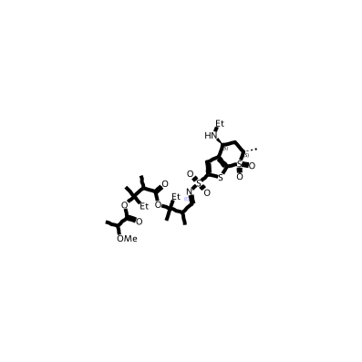 CCN[C@H]1C[C@H](C)S(=O)(=O)c2sc(S(=O)(=O)/N=C/C(C)C(C)(CC)OC(=O)C(C)C(C)(CC)OC(=O)C(C)OC)cc21